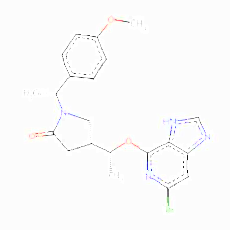 COc1ccc([C@@H](C)N2C[C@H]([C@@H](C)Oc3nc(Br)cc4nc[nH]c34)CC2=O)cc1